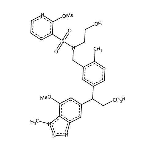 COc1ncccc1S(=O)(=O)N(CCO)Cc1cc(C(CC(=O)O)c2cc(OC)c3c(c2)nnn3C)ccc1C